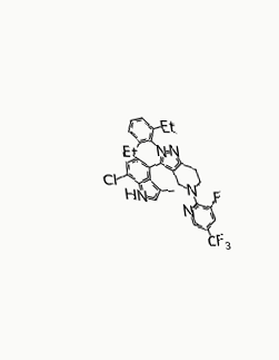 CCc1cccc(CC)c1-n1nc2c(c1-c1ccc(Cl)c3[nH]cc(C)c13)CN(c1ncc(C(F)(F)F)cc1F)CC2